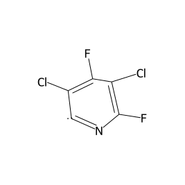 Fc1n[c]c(Cl)c(F)c1Cl